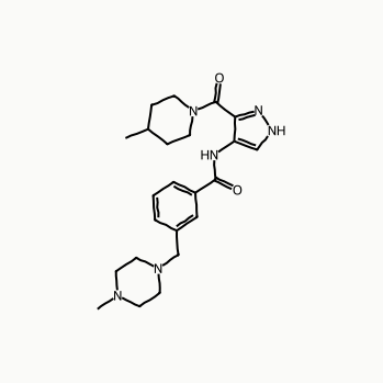 CC1CCN(C(=O)c2n[nH]cc2NC(=O)c2cccc(CN3CCN(C)CC3)c2)CC1